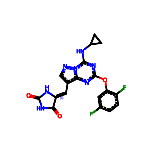 O=C1NC(=O)/C(=C/c2cnn3c(NC4CC4)nc(Oc4cc(F)ccc4F)nc23)N1